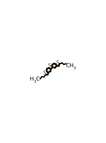 CCCCc1cc2cc3c(cc2s1)sc1cc2sc(CCCC)cc2cc13